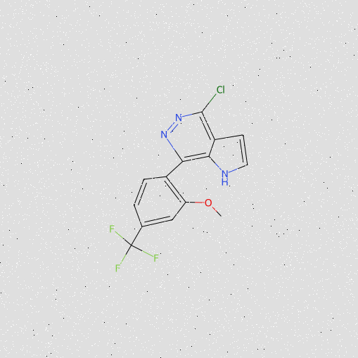 COc1cc(C(F)(F)F)ccc1-c1nnc(Cl)c2cc[nH]c12